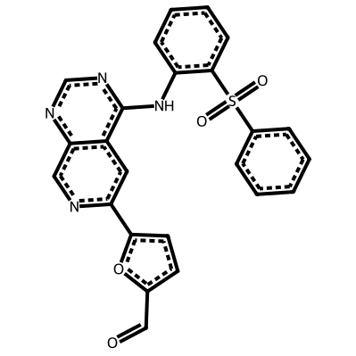 O=Cc1ccc(-c2cc3c(Nc4ccccc4S(=O)(=O)c4ccccc4)ncnc3cn2)o1